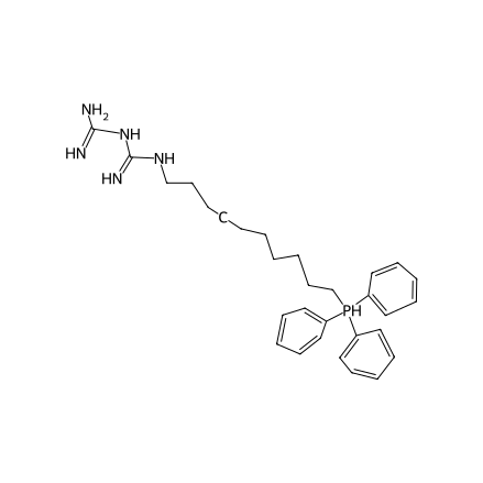 N=C(N)NC(=N)NCCCCCCCCCC[PH](c1ccccc1)(c1ccccc1)c1ccccc1